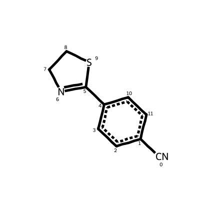 N#Cc1ccc(C2=NCCS2)cc1